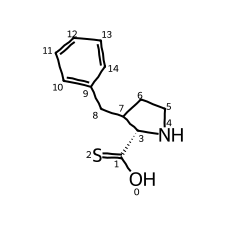 OC(=S)[C@H]1NCCC1Cc1ccccc1